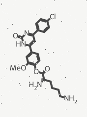 COc1cc(-c2cc(-c3ccc(Cl)cc3)nc(=O)[nH]2)ccc1OC(=O)[C@H](N)CCCCN